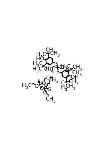 CC(C)(Sc1cc(C(C)(C)C)c(O)c(C(C)(C)C)c1)Sc1cc(C(C)(C)C)c(O)c(C(C)(C)C)c1.CCOP(=S)(OCC)OP(=S)(OCC)OCC